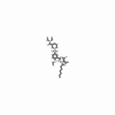 CCCCCCc1nc(C)c2c(=O)nc(-c3cc(S(=O)(=O)N4CCCC(C(=O)N(CC)CC)C4)ccc3OCC)[nH]n12